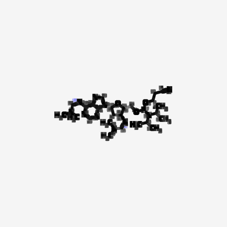 CC(C)N(C(C)C)P(OCCC#N)OC[C@H]1O[C@@H](n2cnc3c(/N=C\N(C)C)ncnc32)C[C@@H]1/N=C\N(C)C